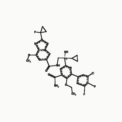 CCOc1c(C(N)=O)cc([C@@](O)(CNC(=O)c2cc(OC)c3nn(C4(F)CC4)cc3c2)C2CC2)nc1-c1cc(F)c(F)c(Cl)c1